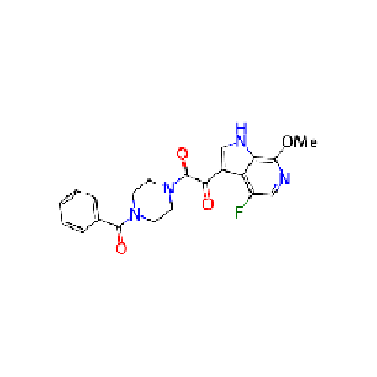 COc1ncc(F)c2c(C(=O)C(=O)N3CCN(C(=O)c4ccccc4)CC3)c[nH]c12